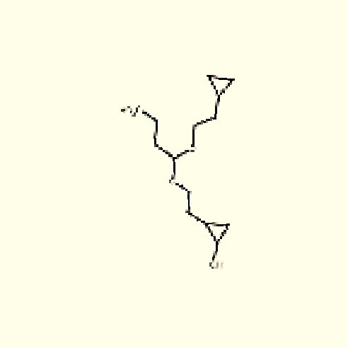 CC1CC1CCOC(CCC(=O)O)OCCC1CC1